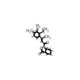 COc1c(/C(C)=C/C(=O)n2oc(=O)c3ccccc32)ccc(C)c1C